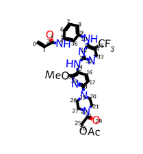 C=CC(=O)Nc1cccc(Nc2nc(Nc3ccc(N4CCN(C(=O)COC(C)=O)CC4)nc3OC)ncc2C(F)(F)F)c1